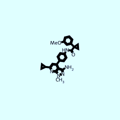 COc1cccc(C2(C(=O)Nc3ccc(-c4cc(C5CC5)nc5c4c(N)nn5C)cc3)CC2)c1